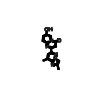 Cc1cn2nc(-c3cc(=O)n4cc(O)ccc4n3)cc(C)c2n1